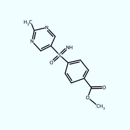 COC(=O)c1ccc(S(=N)(=O)c2cnc(C)nc2)cc1